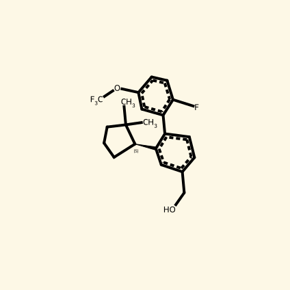 CC1(C)CCC[C@@H]1c1cc(CO)ccc1-c1cc(OC(F)(F)F)ccc1F